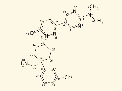 CN(C)c1ncc(-c2ccc(=O)n([C@H]3CC[C@](CN)(c4cccc(Cl)c4)CC3)n2)cn1